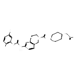 O=C(O)C[C@H]1CC[C@H](OC(=O)N2CCc3cc(NC(=O)Nc4cc(F)ccc4F)ccc3C2)CC1